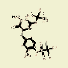 COC(=O)[C@H](Cc1ccc(OS(=O)(=O)C(F)(F)F)c(C)c1)NC(=O)OC(C)(C)C